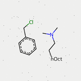 CCCCCCCCCCN(C)C.ClCc1ccccc1